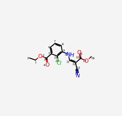 CCOC(=O)c1cccc(NC=C(C#N)C(=O)OC)c1Cl